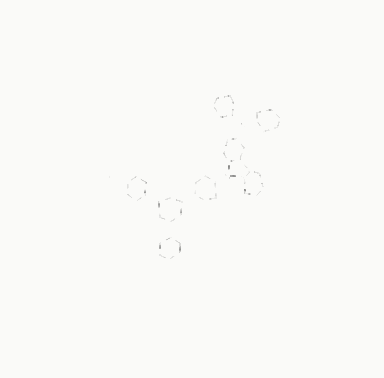 Cc1cc(-c2cc(-c3ccc(C(F)(F)F)cc3)cc(-c3ccc(C(F)(F)F)cc3)c2)ccc1-n1c2ccccc2c2cc(N(c3ccccc3)c3ccccc3)ccc21